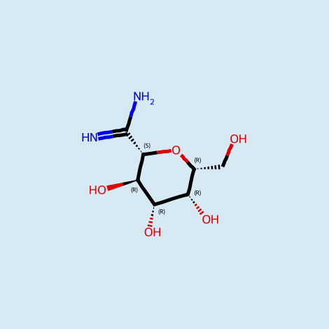 N=C(N)[C@@H]1O[C@H](CO)[C@H](O)[C@H](O)[C@H]1O